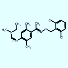 CCN(C)/C=N\c1cc(C)c(/C(C)=N/OCc2c(Cl)cccc2Cl)cc1C